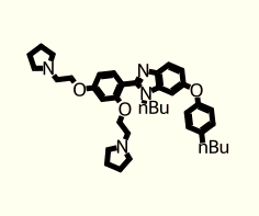 CCCCc1ccc(Oc2ccc3nc(-c4ccc(OCCN5CCCC5)cc4OCCN4CCCC4)n(CCCC)c3c2)cc1